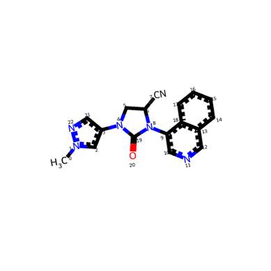 Cn1cc(N2CC(C#N)N(c3cncc4ccccc34)C2=O)cn1